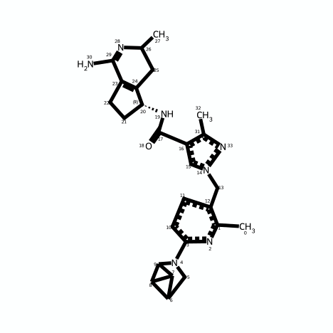 Cc1nc(N2CC3C4C3C42)ccc1Cn1cc(C(=O)N[C@@H]2CCC3=C2CC(C)N=C3N)c(C)n1